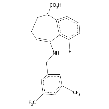 O=C(O)N1CCC=C(NCc2cc(C(F)(F)F)cc(C(F)(F)F)c2)c2c(F)cccc21